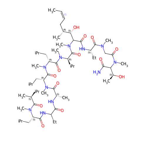 C/C=C\C[C@@H](C)[C@H](O)C(C(=O)N[C@@H](CC)C(=O)N(C)CC(=O)N(C)C(C(N)=O)[C@H](C)O)N(C)C(=O)[C@@H](C(C)C)N(C)C(=O)[C@@H](CC(C)C)N(C)C(=O)[C@@H](CC(C)C)N(C)C(=O)[C@H](C)NC(=O)C(CC)NC(=O)[C@H](CC(C)C)N(C)C(=O)[C@@H](C)C(C)C